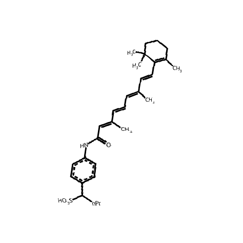 CCCC(c1ccc(NC(=O)/C=C(C)/C=C/C=C(C)/C=C/C2=C(C)CCCC2(C)C)cc1)S(=O)(=O)O